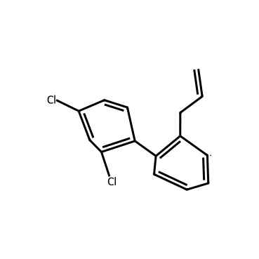 C=CCc1[c]cccc1-c1ccc(Cl)cc1Cl